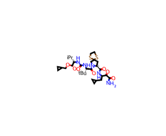 CC(C)[C@H](NC(=O)N[C@H](C(=O)N1CC2(C[C@H]1C(=O)NC(CC1CC1)C(=O)C(N)=O)SCCS2)C(C)(C)C)C(=O)OCC1CC1